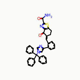 NC(=O)c1nc2c(s1)CC/C(=C\c1ccccc1-c1cn(C(c3ccccc3)(c3ccccc3)c3ccccc3)cn1)C2=O